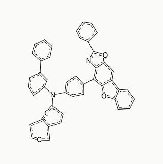 c1ccc(-c2cccc(N(c3ccc(-c4c5nc(-c6ccccc6)oc5cc5c4oc4ccccc45)cc3)c3ccc4ccccc4c3)c2)cc1